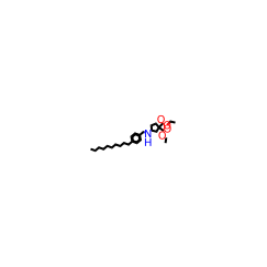 CCCCCCCCCCc1ccc(CNC2CCC(C(=O)OCC)(C(=O)OCC)C2)cc1